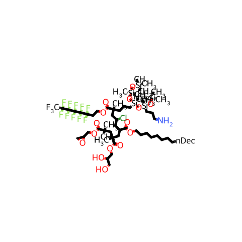 CCCCCCCCCCCCCCCCCCOC(=O)C(CC(Cl)CC(C)(CCC[Si](C)(O[Si](C)(C)O[Si](C)(C)C)O[Si](C)(CCCN)O[Si](C)(C)C)C(=O)OCCC(F)(F)C(F)(F)C(F)(F)C(F)(F)C(F)(F)C(F)(F)F)CC(C)(CC(C)(C)C(=O)OCC1CO1)C(=O)OCC(O)CO